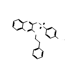 COc1ccc(S(=O)(=O)Nc2nc3ccccc3nc2OCCc2ccccc2)cc1